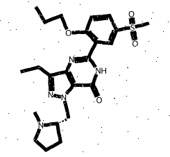 CCCOc1ccc(S(C)(=O)=O)cc1-c1nc2c(CC)nn(C[C@@H]3CCCN3C)c2c(=O)[nH]1